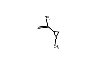 CN1CC1C(N)=O